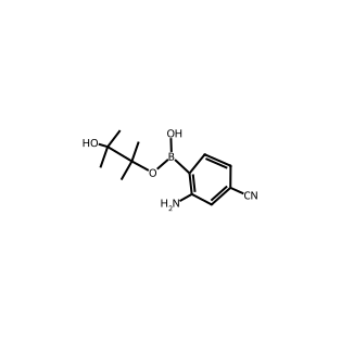 CC(C)(O)C(C)(C)OB(O)c1ccc(C#N)cc1N